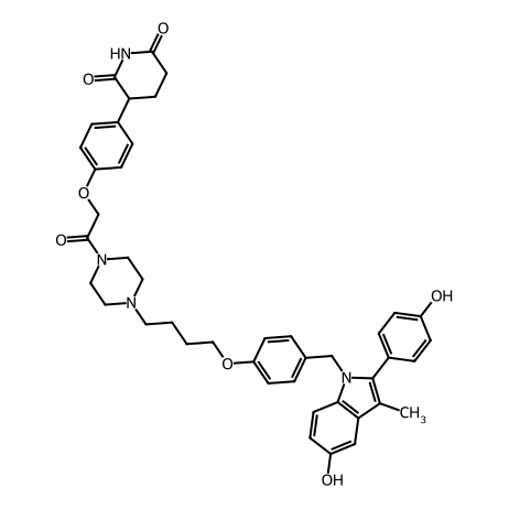 Cc1c(-c2ccc(O)cc2)n(Cc2ccc(OCCCCN3CCN(C(=O)COc4ccc(C5CCC(=O)NC5=O)cc4)CC3)cc2)c2ccc(O)cc12